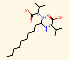 CCCCCCCCCC(N[C@H](C(=O)O)C(C)C)N[C@H](C(=O)O)C(C)C